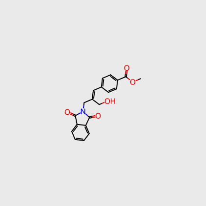 COC(=O)c1ccc(C=C(CO)CN2C(=O)c3ccccc3C2=O)cc1